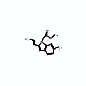 CC(C)(C)OC(=O)Cn1c(C=CC(=O)O)cc2ccc(C(F)(F)F)cc21